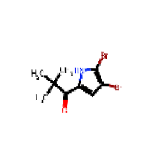 CC(C)(C)C(=O)c1cc(Br)c(Br)[nH]1